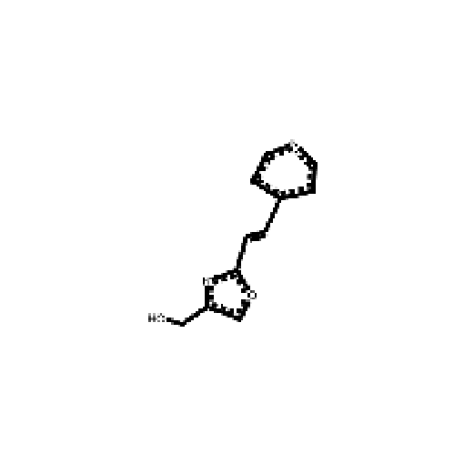 OCc1coc(C=Cc2ccncc2)n1